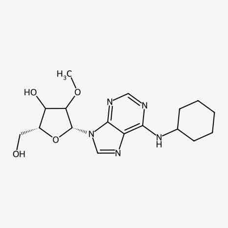 COC1C(O)[C@@H](CO)O[C@H]1n1cnc2c(NC3CCCCC3)ncnc21